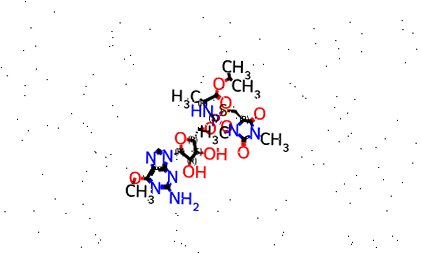 COc1nc(N)nc2c1ncn2[C@@H]1O[C@H](CO[P@@](=O)(N[C@H](C)C(=O)OC(C)C)SC[C@H]2C(=O)N(C)C(=O)N2C)[C@@H](O)[C@H]1O